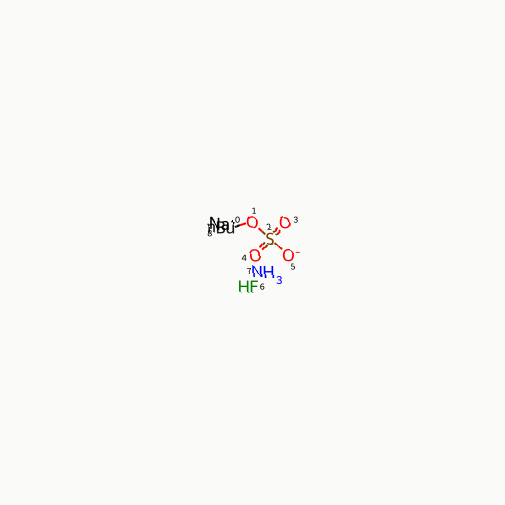 CCCCOS(=O)(=O)[O-].F.N.[Na+]